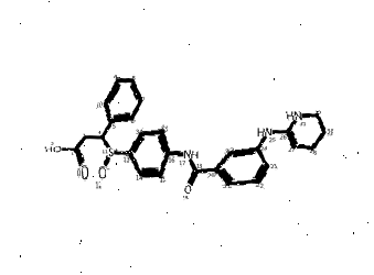 O=C(O)CC(c1ccccc1)[S+]([O-])c1ccc(NC(=O)c2cccc(NC3=CCCCN3)c2)cc1